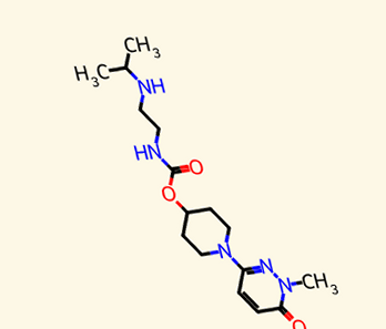 CC(C)NCCNC(=O)OC1CCN(c2ccc(=O)n(C)n2)CC1